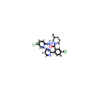 CC1CCCN(C(=O)c2cc(Cl)ccc2-c2ncccn2)[C@@H]1CNc1ccc(Cl)cn1